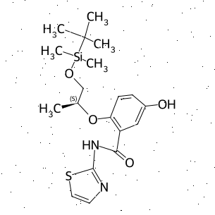 C[C@@H](CO[Si](C)(C)C(C)(C)C)Oc1ccc(O)cc1C(=O)Nc1nccs1